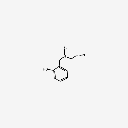 CCN(CC(=O)O)Cc1ccccc1O